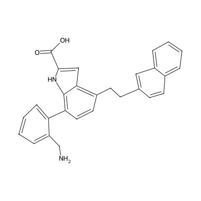 NCc1ccccc1-c1ccc(CCc2ccc3ccccc3c2)c2cc(C(=O)O)[nH]c12